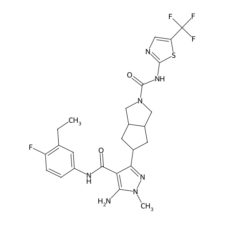 CCc1cc(NC(=O)c2c(C3CC4CN(C(=O)Nc5ncc(C(F)(F)F)s5)CC4C3)nn(C)c2N)ccc1F